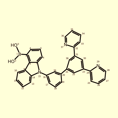 OB(O)c1cccc2c1c1ccccc1n2-c1cccc(-c2cc(-c3ccccn3)cc(-c3ccccn3)c2)c1